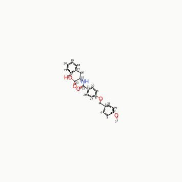 COc1ccc(COc2ccc(C(=O)NC(Cc3ccccc3)C(=O)O)cc2)cc1